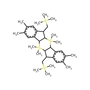 Cc1cc2c(cc1C)C1C(C2CS(C)(C)C)S(C)(C)C2c3cc(C)c(C)cc3C(CS(C)(C)C)C2S1(C)C